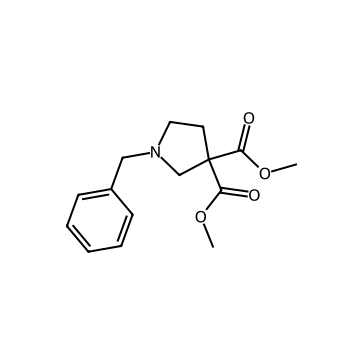 COC(=O)C1(C(=O)OC)CCN(Cc2ccccc2)C1